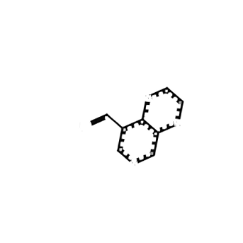 C=Cc1cncc2nccnc12